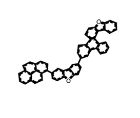 c1cc2ccc3ccc(-c4ccc5oc6ccc(-c7ccc8c(c7)c7ccccc7c7c8ccc8oc9ccccc9c87)cc6c5c4)c4ccc(c1)c2c34